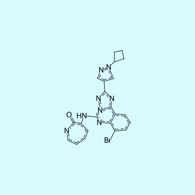 O=c1nccccc1Nc1nc2c(Br)cccc2c2nc(-c3cnn(C4CCC4)c3)nn12